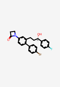 O=C1CCN1c1ccc(-c2ccc(Br)cc2)c(CC[C@H](O)c2ccc(F)cc2)c1